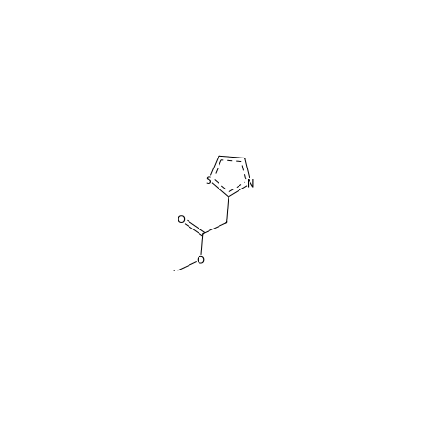 [CH2]OC(=O)Cc1nccs1